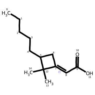 CCCCCC1C/C(=C\C(=O)O)C1(C)C